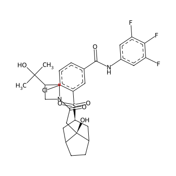 CC(C)(O)C1CN(C(=O)C[C@]2(O)C3CCC2C[C@@H](S(=O)(=O)c2cc(C(=O)Nc4cc(F)c(F)c(F)c4)ccc2Cl)C3)C1